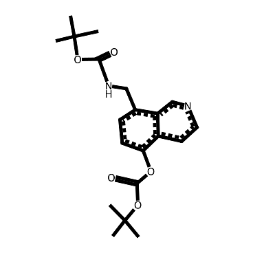 CC(C)(C)OC(=O)NCc1ccc(OC(=O)OC(C)(C)C)c2ccncc12